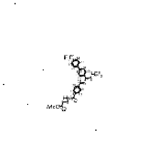 COC(=O)CCNC(=O)c1ccc(/C=C/C(CCC(F)(F)F)c2ccc(-c3ccc(C(F)(F)F)cc3)nc2)cc1